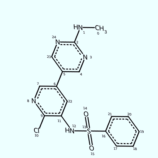 CNc1ncc(-c2cnc(Cl)c(NS(=O)(=O)c3ccccc3)c2)cn1